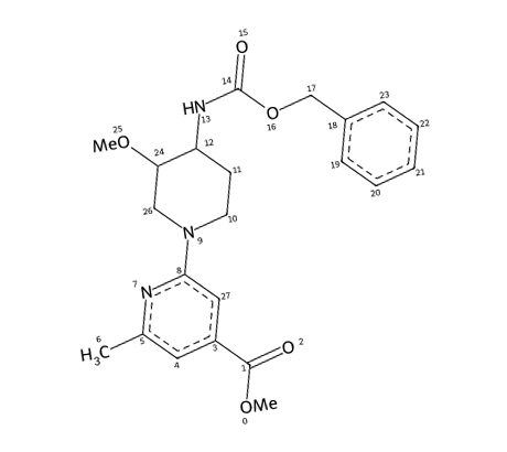 COC(=O)c1cc(C)nc(N2CCC(NC(=O)OCc3ccccc3)C(OC)C2)c1